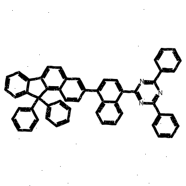 c1ccc(-c2nc(-c3ccccc3)nc(-c3ccc(-c4ccc5c6c(ccc5c4)-c4ccccc4C6(c4ccccc4)c4ccccc4)c4ccccc34)n2)cc1